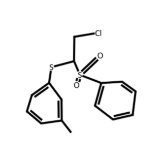 Cc1cccc(SC(CCl)S(=O)(=O)c2ccccc2)c1